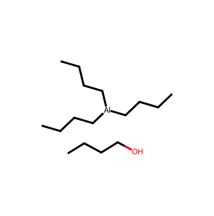 CCCCO.CCC[CH2][Al]([CH2]CCC)[CH2]CCC